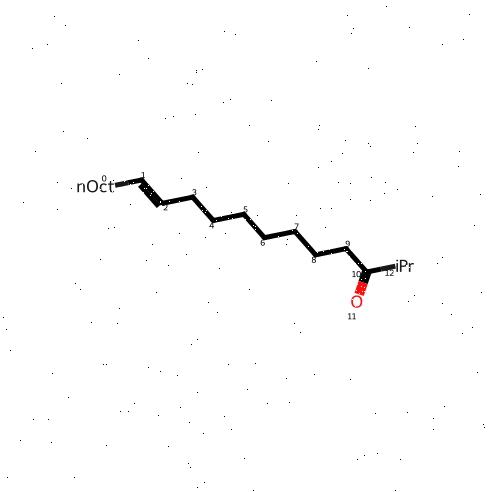 CCCCCCCC/C=C/CCCCCCCC(=O)C(C)C